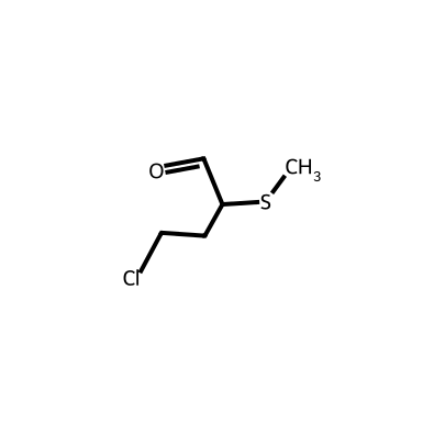 CSC(C=O)CCCl